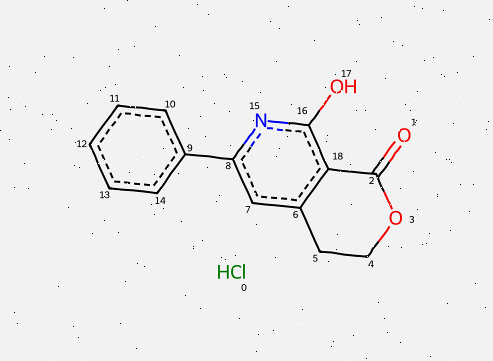 Cl.O=C1OCCc2cc(-c3ccccc3)nc(O)c21